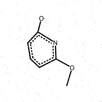 COc1cccc([O])n1